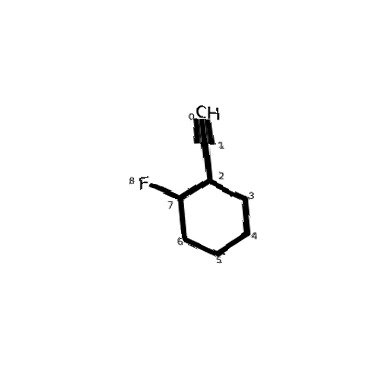 C#CC1CC[CH]CC1F